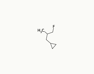 CC(CF)CC1CC1